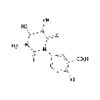 CN1C(=O)N(c2ccc(Cl)c(C(=O)O)c2)C(=O)N(C)C1S